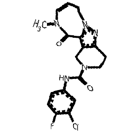 CN1C=CCn2nc3c(c2C1=O)CN(C(=O)Nc1ccc(F)c(Cl)c1)CC3